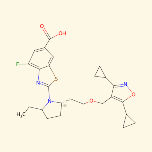 CCC1CC[C@@H](CCOCc2c(C3CC3)noc2C2CC2)N1c1nc2c(F)cc(C(=O)O)cc2s1